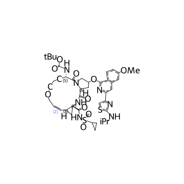 COc1ccc2c(OC3C[C@H]4C(=O)N[C@]5(C(=O)NS(=O)(=O)C6CC6)C[C@H]5/C=C\COCCC[C@H](NC(=O)OC(C)(C)C)C(=O)N4C3)nc(-c3csc(NC(C)C)n3)cc2c1